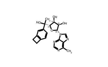 Cc1ncnc2c1ncn2[C@@H]1O[C@H](C(C)(O)c2ccc3c(c2)CC3)[C@@H](O)[C@H]1O